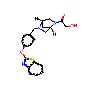 O=C(CO)N1C[C@@H]2C[C@H]1CN2Cc1ccc(Oc2nc3ccccc3s2)cc1